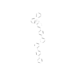 C1=CC(c2cccc(-c3ccc(-c4ccccc4)cc3)c2)CC(c2ccc(C3=Cc4c(n5c6ccccc6c6cccc4c65)CC3)cc2)=C1